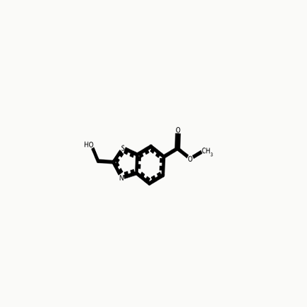 COC(=O)c1ccc2nc(CO)sc2c1